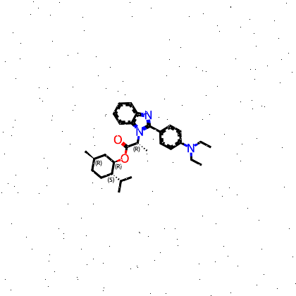 CCN(CC)c1ccc(-c2nc3ccccc3n2[C@H](C)C(=O)O[C@@H]2C[C@H](C)CC[C@H]2C(C)C)cc1